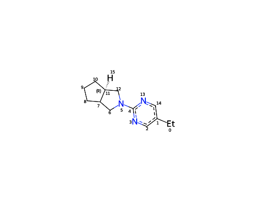 CCc1cnc(N2CC3CCC[C@H]3C2)nc1